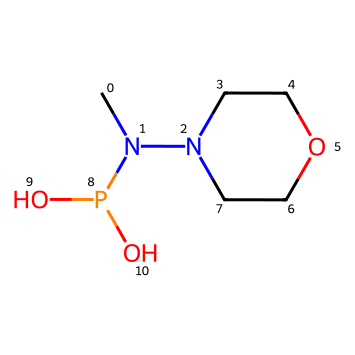 CN(N1CCOCC1)P(O)O